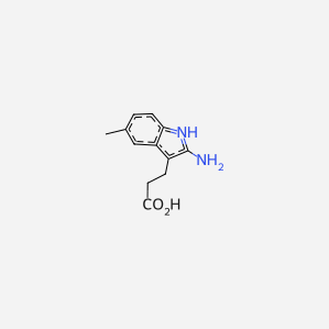 Cc1ccc2[nH]c(N)c(CCC(=O)O)c2c1